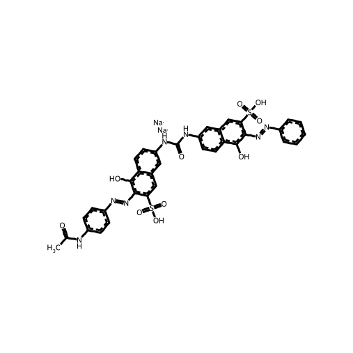 CC(=O)Nc1ccc(N=Nc2c(S(=O)(=O)O)cc3cc(NC(=O)Nc4ccc5c(O)c(N=Nc6ccccc6)c(S(=O)(=O)O)cc5c4)ccc3c2O)cc1.[Na].[Na]